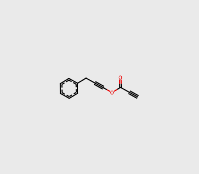 C#CC(=O)OC#CCc1ccccc1